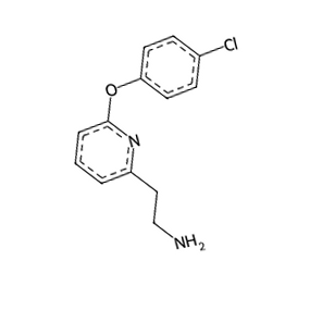 NCCc1cccc(Oc2ccc(Cl)cc2)n1